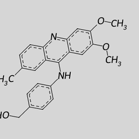 COc1cc2nc3ccc(C)cc3c(Nc3ccc(CO)cc3)c2cc1OC